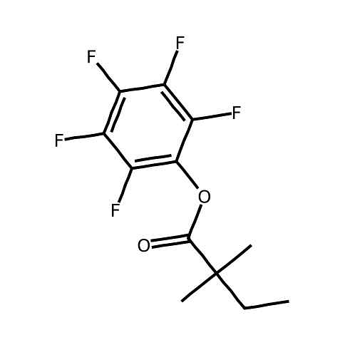 CCC(C)(C)C(=O)Oc1c(F)c(F)c(F)c(F)c1F